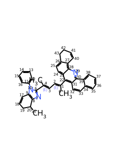 C/C(=C\C=C(/C)c1nc2c(n1-c1ccccc1)C=CCC2C)c1c2ccc3c(c2nc2c1ccc1ccccc12)C=CCC3